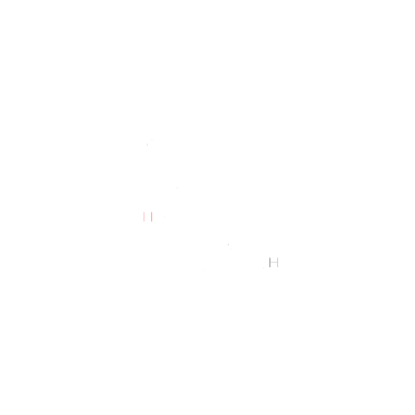 C=C[C@@H](O)CC(C)=O